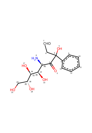 N[C@@H](C(=O)C(O)(CC=O)c1ccccc1)[C@@H](O)[C@H](O)[C@H](O)CO